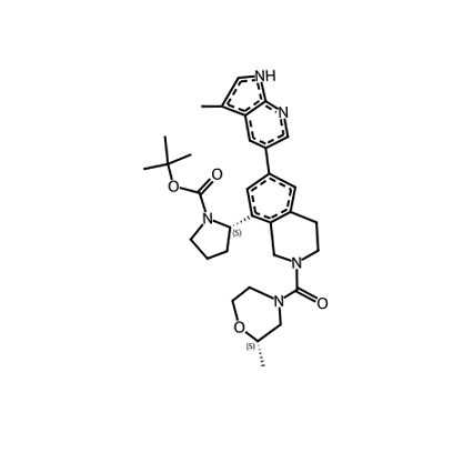 Cc1c[nH]c2ncc(-c3cc4c(c([C@@H]5CCCN5C(=O)OC(C)(C)C)c3)CN(C(=O)N3CCO[C@@H](C)C3)CC4)cc12